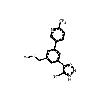 CCOCc1cc(-c2ccc(C(F)(F)F)nc2)cc(-c2nn[nH]c2C#N)c1